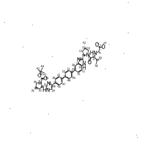 COC(=O)CN[C@H](C(=O)N1C[C@@H](C)C[C@H]1c1nc2cc(-c3ccc(-c4ccc(-c5c[nH]c([C@@H]6C[C@H](C)CN6C(=O)OC(C)(C)C)n5)cc4)cc3)ccc2[nH]1)C(C)C